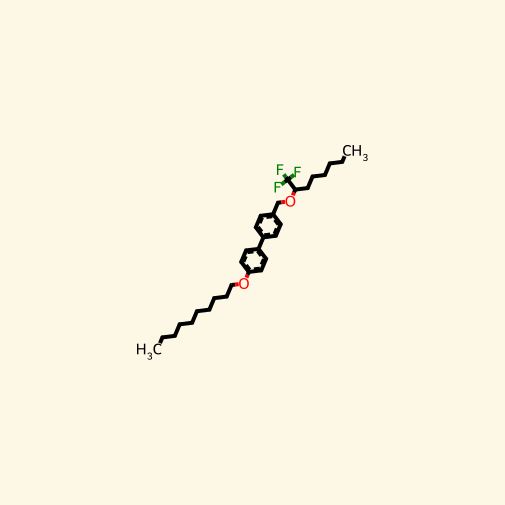 CCCCCCCCCCOc1ccc(-c2ccc(COC(CCCCCC)C(F)(F)F)cc2)cc1